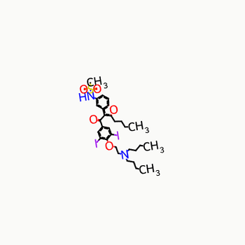 CCCCc1oc2ccc(NS(C)(=O)=O)cc2c1C(=O)c1cc(I)c(OCCN(CCCC)CCCC)c(I)c1